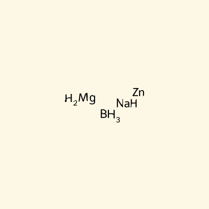 B.[MgH2].[NaH].[Zn]